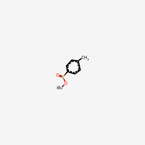 CCC(C)OS(=O)c1ccc(C)cc1